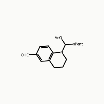 CCCCCC(OC(C)=O)N1CCCc2cc(C=O)ccc21